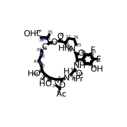 CC(=O)CC[C@H]1C(=O)N[C@@H](C(C)C)C(=O)NC(c2cc(O)c(F)c(F)c2)C(=O)N2CCCC(N2)C(=O)O[C@H](/C(C)=C/C=O)C/C=C/C=C/[C@H](O)[C@H](C)[C@H]1O